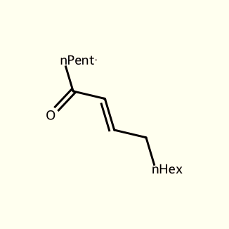 CCCC[CH]C(=O)/C=C/CCCCCCC